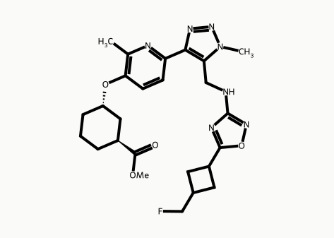 COC(=O)[C@H]1CCC[C@H](Oc2ccc(-c3nnn(C)c3CNc3noc(C4CC(CF)C4)n3)nc2C)C1